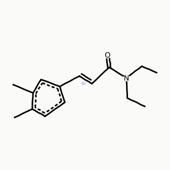 CCN(CC)C(=O)/C=C/c1ccc(C)c(C)c1